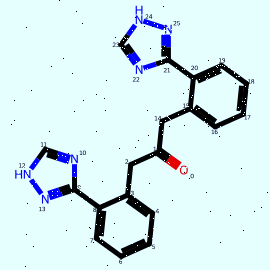 O=C(Cc1ccccc1-c1nc[nH]n1)Cc1ccccc1-c1nc[nH]n1